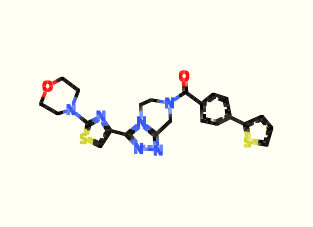 O=C(c1ccc(-c2cccs2)cc1)N1CCn2c(nnc2-c2csc(N3CCOCC3)n2)C1